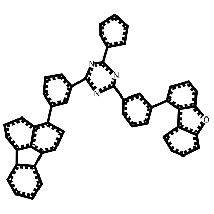 c1ccc(-c2nc(-c3cccc(-c4ccc5c6c(cccc46)-c4ccccc4-5)c3)nc(-c3cccc(-c4cccc5oc6ccccc6c45)c3)n2)cc1